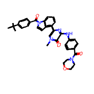 Cn1cc(-c2cccc3c2ccn3C(=O)c2ccc(C(C)(C)C)cc2)nc(Nc2ccc(C(=O)N3CCOCC3)cc2)c1=O